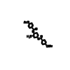 COc1ccc(C(=O)Oc2ccc(OC(=O)c3ccc(OC(C)=O)cc3)c(C)c2)cc1